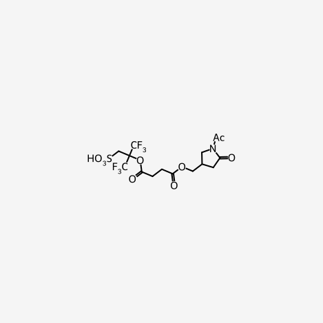 CC(=O)N1CC(COC(=O)CCC(=O)OC(CS(=O)(=O)O)(C(F)(F)F)C(F)(F)F)CC1=O